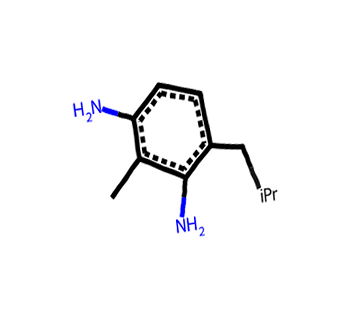 Cc1c(N)ccc(CC(C)C)c1N